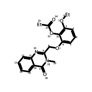 CCOc1cccc(OCc2nc3ccccc3c(=O)n2C)c1OC(=O)CC